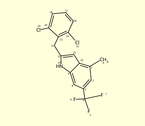 Cc1cc(C(F)(F)F)cc2[nH]c(Cc3c(Cl)[c]ccc3Cl)cc12